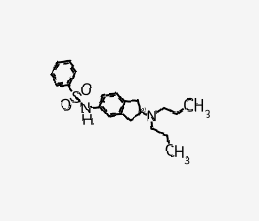 CCCN(CCC)[C@@H]1Cc2ccc(NS(=O)(=O)c3ccccc3)cc2C1